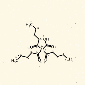 CCCCC(=O)[AsH](C(=O)O)(C(=O)CCCC)C(=O)CCCC